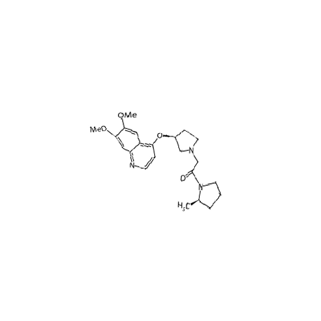 COc1cc2nccc(O[C@H]3CCN(CC(=O)N4CCC[C@H]4C)C3)c2cc1OC